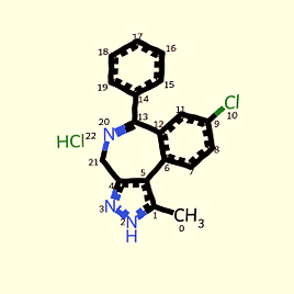 Cc1[nH]nc2c1-c1ccc(Cl)cc1C(c1ccccc1)=NC2.Cl